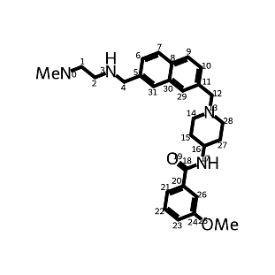 CNCCNCc1ccc2ccc(CN3CCC(NC(=O)c4cccc(OC)c4)CC3)cc2c1